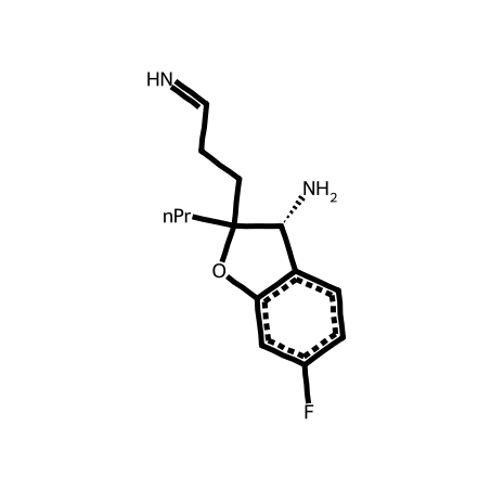 CCCC1(CCC=N)Oc2cc(F)ccc2[C@H]1N